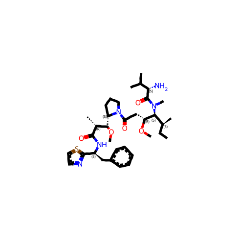 CC[C@H](C)[C@@H]([C@@H](CC(=O)N1CCC[C@H]1C(OC)[C@@H](C)C(=O)N[C@@H](Cc1ccccc1)c1nccs1)OC)N(C)C(=O)[C@@H](N)C(C)C